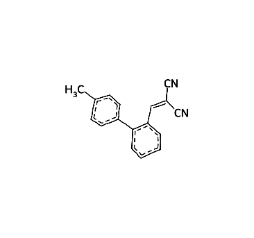 Cc1ccc(-c2ccccc2C=C(C#N)C#N)cc1